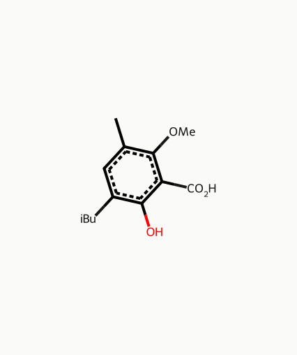 CCC(C)c1cc(C)c(OC)c(C(=O)O)c1O